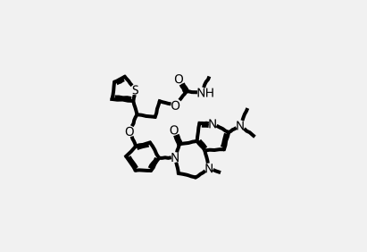 CNC(=O)OCCC(Oc1cccc(N2CCN(C)c3cc(N(C)C)ncc3C2=O)c1)c1cccs1